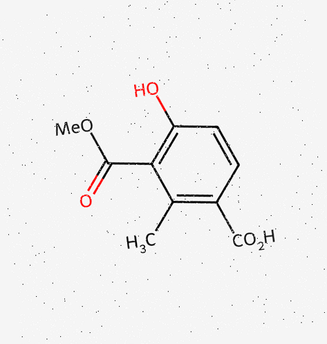 COC(=O)c1c(O)ccc(C(=O)O)c1C